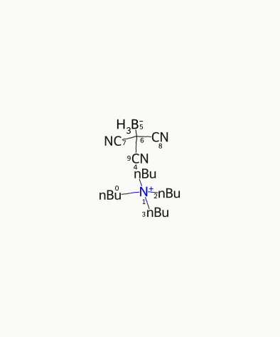 CCCC[N+](CCCC)(CCCC)CCCC.[BH3-]C(C#N)(C#N)C#N